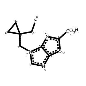 O=C(O)c1nc2c(ncn2CC2(CF)CC2)s1